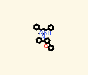 CN1C(c2ccccc2)C=C(c2ccccc2)NC1n1c2ccccc2c2c3oc4ccccc4c3ccc21